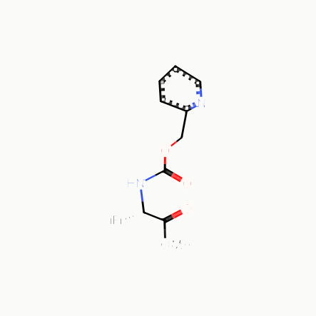 COC(=O)[C@@H](NC(=O)OCc1ccccn1)C(C)C